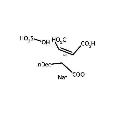 CCCCCCCCCCCC(=O)[O-].O=C(O)/C=C\C(=O)O.O=S(=O)(O)O.[Na+]